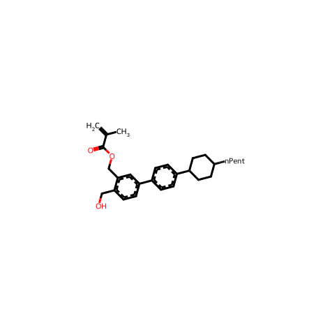 C=C(C)C(=O)OCc1cc(-c2ccc(C3CCC(CCCCC)CC3)cc2)ccc1CO